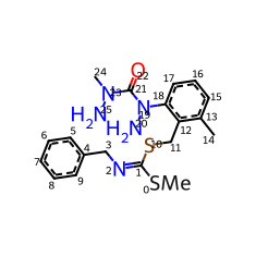 CSC(=NCc1ccccc1)SCc1c(C)cccc1N(N)C(=O)N(C)N